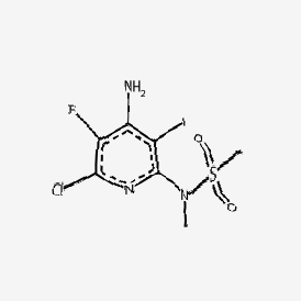 CN(c1nc(Cl)c(F)c(N)c1I)S(C)(=O)=O